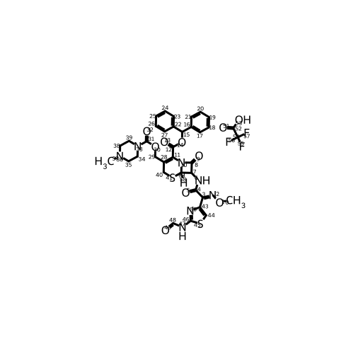 CON=C(C(=O)NC1C(=O)N2C(C(=O)OC(c3ccccc3)c3ccccc3)=C(COC(=O)N3CCN(C)CC3)CS[C@@H]12)c1csc(NC=O)n1.O=C(O)C(F)(F)F